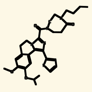 CCCCN1CCN(C(=O)c2nc(-c3cccs3)c3n2CCc2cc(OC)c(OC(C)C)cc2-3)CCC1=O